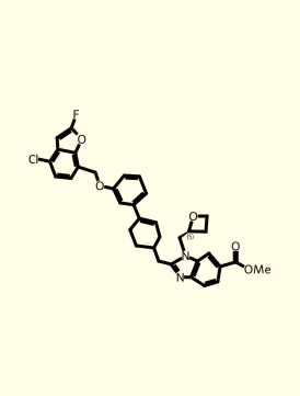 COC(=O)c1ccc2nc(CC3CC=C(c4cccc(OCc5ccc(Cl)c6cc(F)oc56)c4)CC3)n(C[C@@H]3CCO3)c2c1